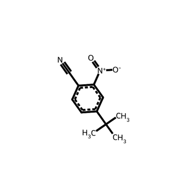 CC(C)(C)c1ccc(C#N)c([N+](=O)[O-])c1